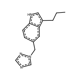 CCCc1c[nH]c2ccc(Cn3cncn3)cc12